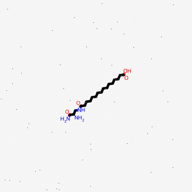 NC(=O)[C@@H](N)CNC(=O)CCCCCCCCCCCCCCC(=O)O